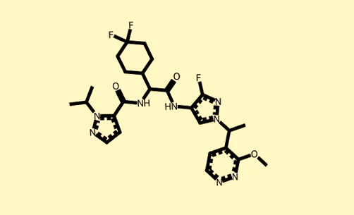 COc1nnccc1C(C)n1cc(NC(=O)C(NC(=O)c2ccnn2C(C)C)C2CCC(F)(F)CC2)c(F)n1